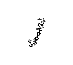 COC(=O)N[C@@H](C)C(=O)N1CCC[C@H]1c1ncc(-c2ccc(-c3ccc(-c4cnc([C@@H]5CCCN5C(=O)CC(C)C)[nH]4)cc3)cc2)[nH]1